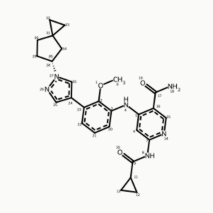 COc1c(Nc2cc(NC(=O)C3CC3)ncc2C(N)=O)cccc1-c1cnn([C@@H]2CCC3(CC3)C2)c1